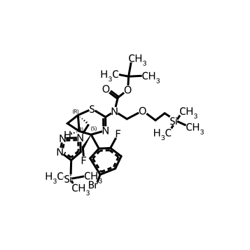 CC(C)(C)OC(=O)N(COCC[Si](C)(C)C)C1=N[C@](CF)(c2cc(Br)ccc2F)[C@H]2C[C@@]2(Cn2cc([Si](C)(C)C)nn2)S1